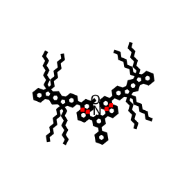 CCCCCCCCC1(CCCCCCCC)c2ccccc2-c2cc3c(cc21)-c1ccc(-c2ccc4c(c2)Oc2cc(-c5ccc6c(c5)C(CCCCCCC)(CCCCCCC)c5cc7c(cc5-6)C(CCCCCCC)(CCCCCCC)c5ccccc5-7)ccc2N4c2c(-c4ccccc4)cc(-c4ccccc4)cc2-c2ccccc2)cc1C3(CCCCCCCC)CCCCCCCC